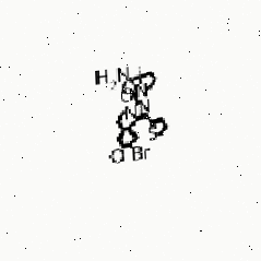 COc1cc2c(cc1Br)-c1c(-c3cccs3)nc(C(=O)N3CCC[C@]3(C)C(N)=O)n1CC2